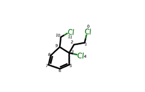 ClCCC1(Cl)C=CC=CC1CCl